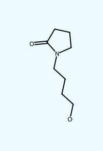 [O]CCCCN1CCCC1=O